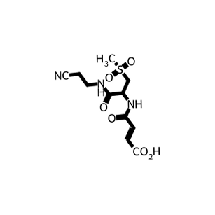 CS(=O)(=O)CC(NC(=O)C=CC(=O)O)C(=O)NCCC#N